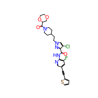 O=C(Nc1ncc(C#Cc2cccs2)cc1F)c1nn(CCC2CCN(C(=O)C3COCCO3)CC2)cc1Cl